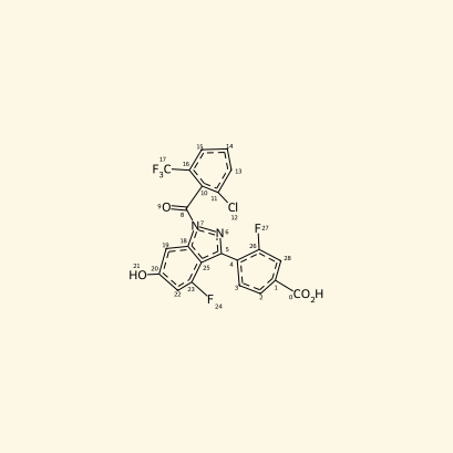 O=C(O)c1ccc(-c2nn(C(=O)c3c(Cl)cccc3C(F)(F)F)c3cc(O)cc(F)c23)c(F)c1